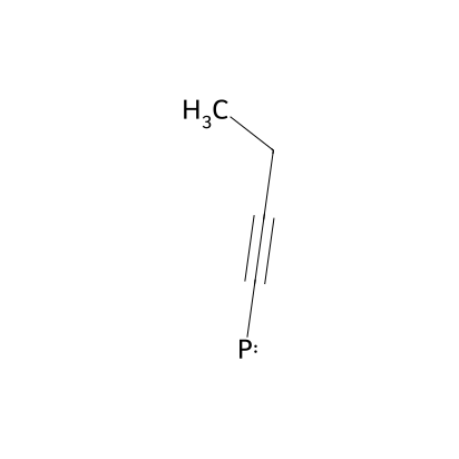 CCC#C[P]